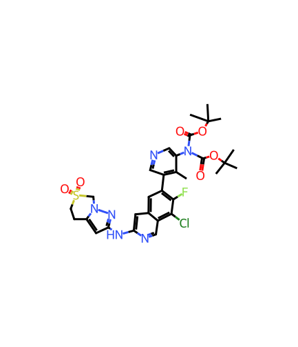 Cc1c(-c2cc3cc(Nc4cc5n(n4)CS(=O)(=O)CC5)ncc3c(Cl)c2F)cncc1N(C(=O)OC(C)(C)C)C(=O)OC(C)(C)C